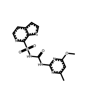 COc1cc(C)nc(NC(=O)NS(=O)(=O)c2nccc3ccsc23)n1